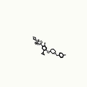 Cc1ccc(CN2CCC[C@@H](Oc3cc(F)c(C(=O)NS(=O)(=O)N4CCC4)cc3C3CC3)C2)cc1